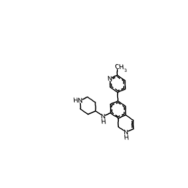 Cc1ccc(-c2cc3c(c(NC4CCNCC4)c2)CNC=C3)cn1